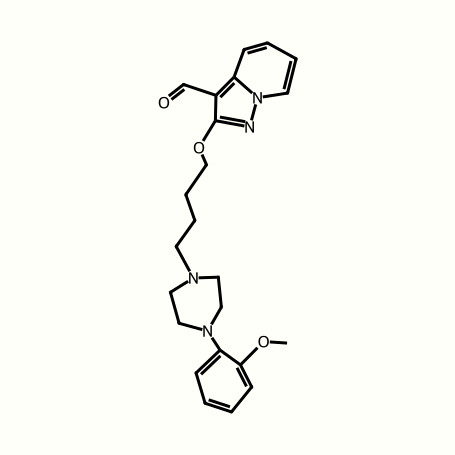 COc1ccccc1N1CCN(CCCCOc2nn3ccccc3c2C=O)CC1